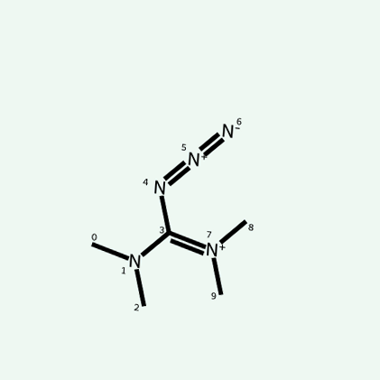 CN(C)C(N=[N+]=[N-])=[N+](C)C